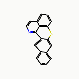 c1ccc2cc3c(cc2c1)Sc1cccc2ccnc-3c12